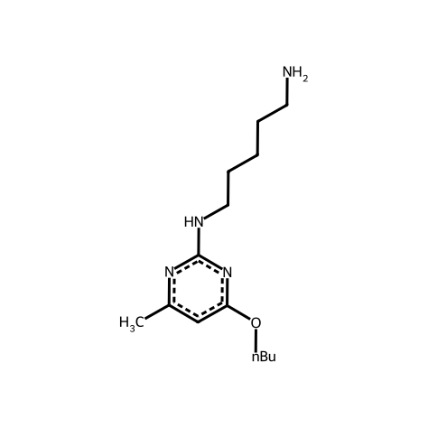 CCCCOc1cc(C)nc(NCCCCCN)n1